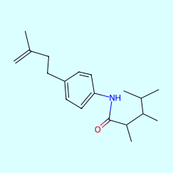 C=C(C)CCc1ccc(NC(=O)C(C)C(C)C(C)C)cc1